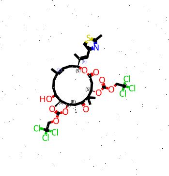 C/C1=C/C[C@@H](/C(C)=C/c2csc(C)n2)OC(=O)C[C@H](OC(=O)OCC(Cl)(Cl)Cl)C(C)(C)C(=O)[C@H](C)[C@@H](OC(=O)OCC(Cl)(Cl)Cl)[C@@H](C)C(O)CC1